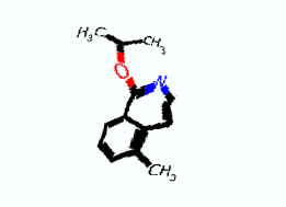 Cc1cccc2c(OC(C)C)nccc12